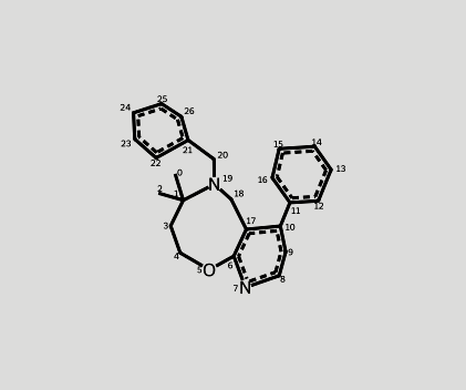 CC1(C)CCOc2nccc(-c3ccccc3)c2CN1Cc1ccccc1